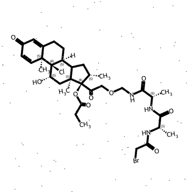 CCC(=O)O[C@]1(C(=O)COCNC(=O)[C@H](C)NC(=O)[C@H](C)NC(=O)CBr)[C@@H](C)CC2[C@@H]3CCC4=CC(=O)C=C[C@]4(C)[C@@]3(Cl)[C@@H](O)C[C@@]21C